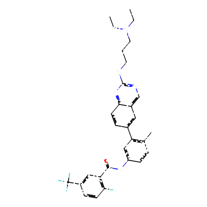 CCN(CC)CCCNc1ncc2cc(-c3cc(NC(=O)c4cc(C(F)(F)F)ccc4F)ccc3C)ccc2n1